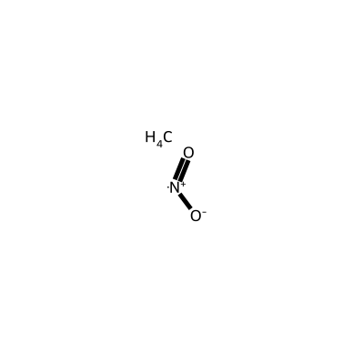 C.O=[N+][O-]